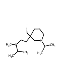 CC(C)N(C)CCC1(CI)CCCN(C(C)C)C1